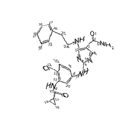 NC(=O)c1cnc(Nc2ccc(Cl)c(NC(=O)C3CC3)c2)nc1NCCc1ccccc1